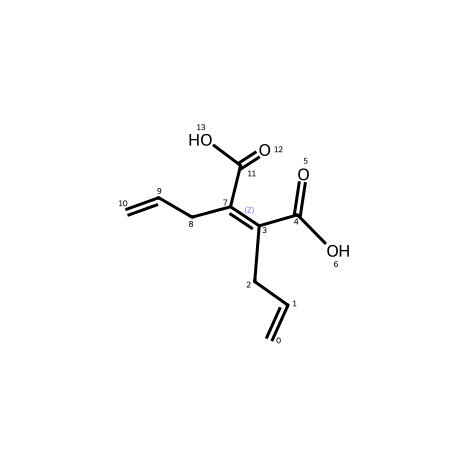 C=CC/C(C(=O)O)=C(\CC=C)C(=O)O